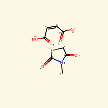 CN1C(=O)CSC1=O.O=C(O)/C=C\C(=O)O